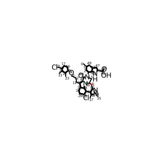 Cc1cc(N2CC(C)n3c(c(CCCOc4ccc(Cl)c(C)c4C)c4ccc(Cl)c(-c5c(C)nn(C)c5C)c43)C2=O)c2[nH]c(C(=O)O)cc2c1